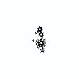 C[C@H]1OC(=O)[C@]2(NC(=O)c3nccs3)CC(F)(F)[C@@H](C)[C@H](/C=C/c3ccc(-c4ccccc4C#N)cn3)[C@H]12